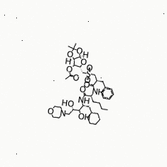 CCCC[C@H](NC(=O)[C@H](Cc1ccccc1)CS(=O)(=O)C[C@H]1O[C@@H]2OC(C)(C)O[C@@H]2[C@@H]1OC(C)=O)C(=O)N[C@@H](CC1CCCCC1)[C@@H](O)[C@@H](O)CN1CCOCC1